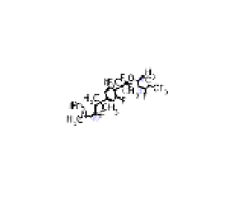 C/C=C(\C=C(\F)CC(F)(F)F)OC(F)(F)C(C)(C)c1c(F)cc(C(C)(C)C/C(F)=C\N(C)CC(C)C)cc1F